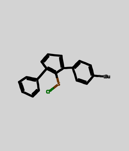 CC(C)(C)c1ccc(-c2cccc(-c3ccccc3)c2SCl)cc1